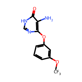 Nc1c(Oc2cccc(OC(F)(F)F)c2)nc[nH]c1=O